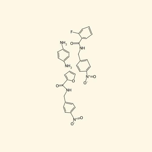 Nc1ccc(N)cc1.O=C(NCc1ccc([N+](=O)[O-])cc1)c1ccccc1F.O=C(NCc1ccc([N+](=O)[O-])cc1)c1ccco1